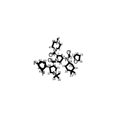 CN1CCN(C(=O)[C@H]2C[C@H](N(C(=O)[C@@H]3CCCO3)C3CCC(C)(C)CC3)CN2C(=O)[C@@H]2CN(C(C)(C)C)C[C@H]2c2ccc(F)cc2F)CC1